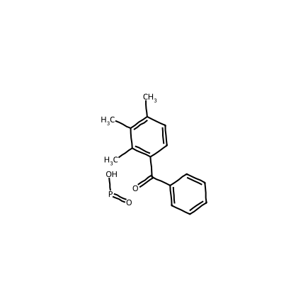 Cc1ccc(C(=O)c2ccccc2)c(C)c1C.O=PO